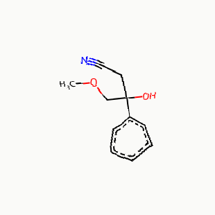 COCC(O)(CC#N)c1ccccc1